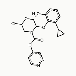 Cc1cccc(C2CC2)c1OC1COC(Cl)CN1C(=O)Oc1ccnnc1